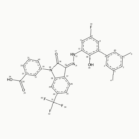 Cc1cc(C)cc(-c2cc(F)cc(NN=C3C(=O)N(c4cccc(C(=O)O)c4)c4cc(C(F)(F)F)ccc43)c2O)c1